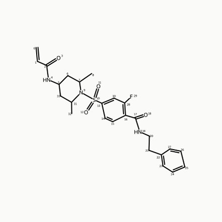 C=CC(=O)NC1CC(C)N(S(=O)(=O)c2ccc(C(=O)NCCc3ccccc3)c(F)c2)C(C)C1